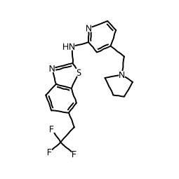 FC(F)(F)Cc1ccc2nc(Nc3cc(CN4CCCC4)ccn3)sc2c1